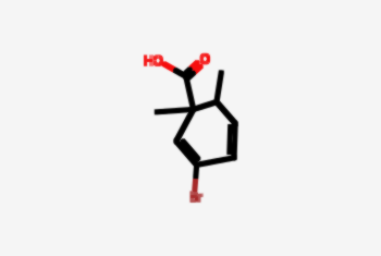 CC1C=CC(Br)=CC1(C)C(=O)O